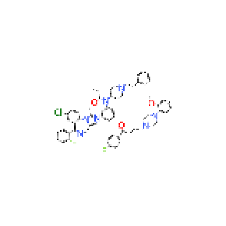 CCC(=O)N(c1ccccc1)C1CCN(CCc2ccccc2)CC1.COc1ccccc1N1CCN(CCCC(=O)c2ccc(F)cc2)CC1.Cc1ncc2n1-c1ccc(Cl)cc1C(c1ccccc1F)=NC2